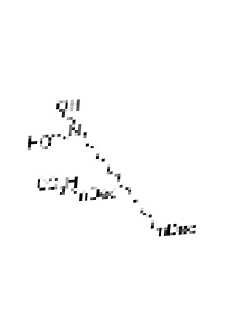 CCCCCCCCCCCC(=O)O.CCCCCCCCCCCCCCCCCCCCCCCCN(CCO)CCO